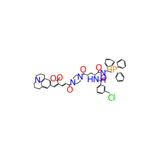 O=C(N[C@@H](CCC(=O)N1CCN(C(=O)/C=C/c2cc3cc4c5c(c3oc2=O)CCCN5CCC4)CC1)C(=O)NCC[PH](c1ccccc1)(c1ccccc1)c1ccccc1)c1cccc(CCl)c1